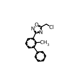 Cc1c(-c2ccccc2)cccc1-c1noc(CCl)n1